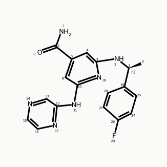 C[C@H](Nc1cc(C(N)=O)cc(Nc2cnccn2)n1)c1ccc(F)cc1